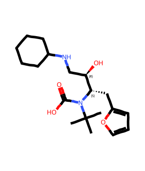 CC(C)(C)N(C(=O)O)[C@@H](Cc1ccco1)[C@H](O)CNC1CCCCC1